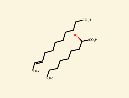 CCCCCCC=CCCCCCCCC(=O)O.CCCCCCCCCCCCCCCCC(O)C(=O)O